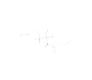 C=CCN(C)C(=O)C(F)(C(F)(F)F)C(C)(CC)OC(F)F